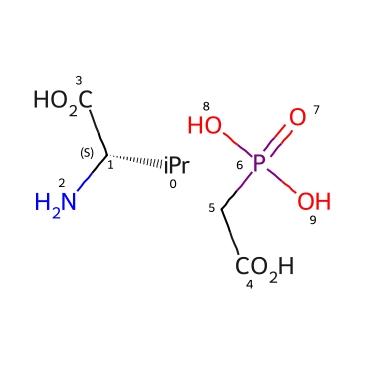 CC(C)[C@H](N)C(=O)O.O=C(O)CP(=O)(O)O